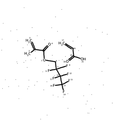 C=C(C)C(=O)OCC(F)(F)C(F)(F)C(F)(F)F.C=CC(=O)O